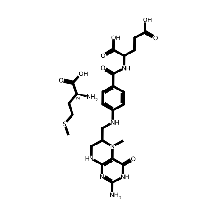 CN1c2c(nc(N)[nH]c2=O)NCC1CNc1ccc(C(=O)NC(CCC(=O)O)C(=O)O)cc1.CSCC[C@H](N)C(=O)O